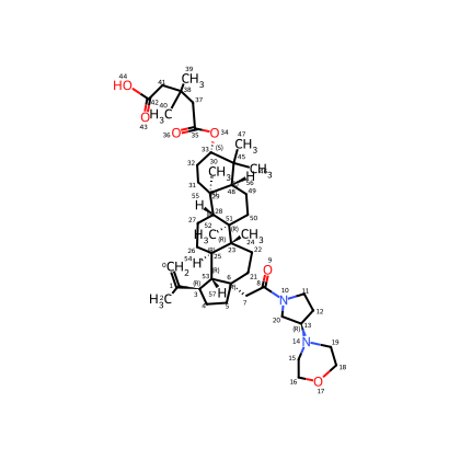 C=C(C)[C@@H]1CC[C@]2(CC(=O)N3CC[C@@H](N4CCOCC4)C3)CC[C@]3(C)[C@H](CC[C@@H]4[C@@]5(C)CC[C@H](OC(=O)CC(C)(C)CC(=O)O)C(C)(C)[C@@H]5CC[C@]43C)[C@@H]12